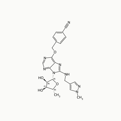 C[C@H]1O[C@@H](n2c(NCc3cnn(C)c3)nc3c(OCc4ccc(C#N)cc4)ncnc32)[C@H](O)[C@@H]1O